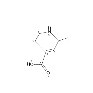 CC1C=C(C(=O)O)CCN1